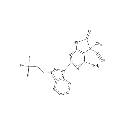 C#CC1(C)C(=O)Nc2nc(-c3nn(CCC(F)(F)F)c4ncccc34)nc(N)c21